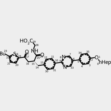 CCCCCCCOc1ccc(-c2cnc(-c3ccc(C[C@H](CC(=O)c4ccc(C(C)(C)C)s4)C(=O)NCC(=O)O)cc3)nc2)cc1